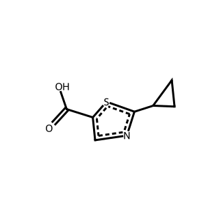 O=C(O)c1cnc(C2CC2)s1